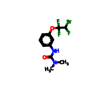 CN(C)C(=O)Nc1cccc(OC(F)(F)C(F)Br)c1